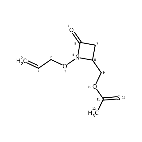 C=CCON1C(=O)CC1COC(C)=S